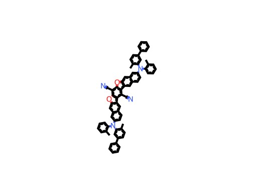 Cc1ccccc1N(c1ccc2cc3c(cc2c1)oc1c(C#N)c2oc4cc5cc(N(c6ccccc6C)c6cc(-c7ccccc7)ccc6C)ccc5cc4c2c(C#N)c13)c1cc(-c2ccccc2)ccc1C